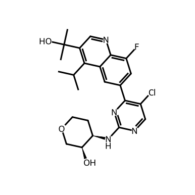 CC(C)c1c(C(C)(C)O)cnc2c(F)cc(-c3nc(N[C@@H]4CCOC[C@@H]4O)ncc3Cl)cc12